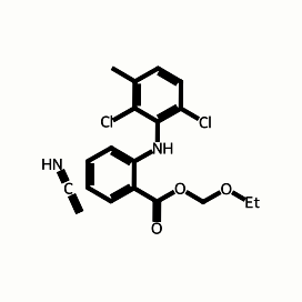 C=C=N.CCOCOC(=O)c1ccccc1Nc1c(Cl)ccc(C)c1Cl